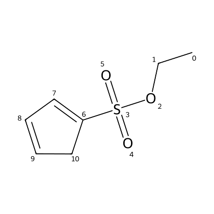 CCOS(=O)(=O)C1=CC=CC1